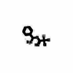 CC(OC(=N)C(Cl)(Cl)Cl)c1ccccc1